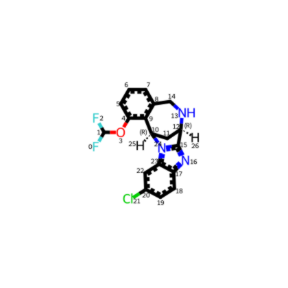 FC(F)Oc1cccc2c1[C@H]1C[C@@H](NC2)c2nc3ccc(Cl)cc3n21